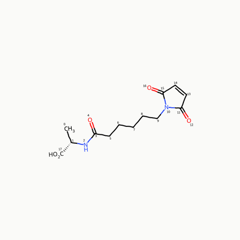 C[C@H](NC(=O)CCCCCN1C(=O)C=CC1=O)C(=O)O